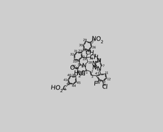 C=C(/C=C/c1c(-n2cnnn2)ccc(Cl)c1F)N1CC(C)(C)c2c(-c3ccc([N+](=O)[O-])cc3)cccc2C1C(=O)Nc1ccc(C(=O)O)cc1